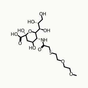 COCCOCCSCC(=O)N[C@@H]1C(O)C[C@@](O)(C(=O)O)OC1[C@H](O)[C@H](O)CO